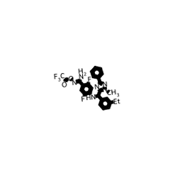 CCc1cccc(C(Nc2cc(F)c(/C(N)=N/OC(=O)C(F)(F)F)cc2F)c2nc(-c3ccccc3)nn2C)c1